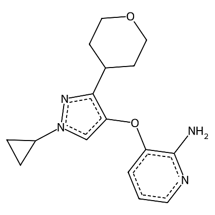 Nc1ncccc1Oc1cn(C2CC2)nc1C1CCOCC1